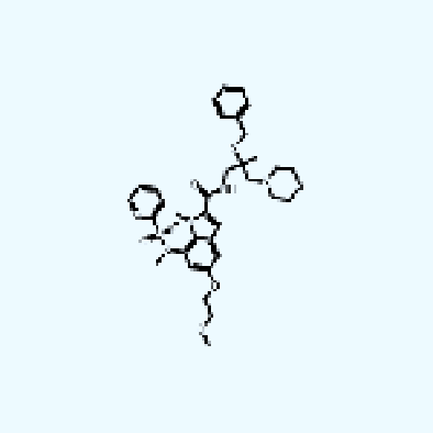 COCCOc1cc(N(C)S(=O)(=O)c2ccccn2)c2c(c1)cc(C(=O)NCC(C)(CN1CCSCC1)SCc1ccccc1)n2C